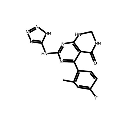 Cc1cc(F)ccc1-c1nc(Nc2nnn[nH]2)nc2c1C(=O)NCN2